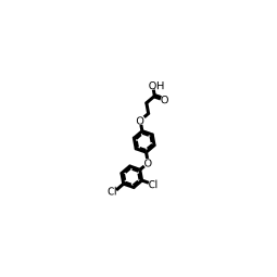 O=C(O)CCOc1ccc(Oc2ccc(Cl)cc2Cl)cc1